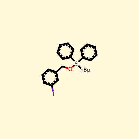 CCCC[Si](OCc1cccc(I)c1)(c1ccccc1)c1ccccc1